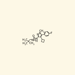 Cn1nc(NC(=O)NCC(C)(C)C)c(C2CCC2)c1-c1ccc(F)cc1